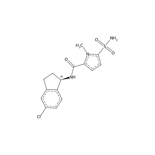 Cn1c(C(=O)N[C@@H]2CCc3cc(Cl)ccc32)ccc1S(N)(=O)=O